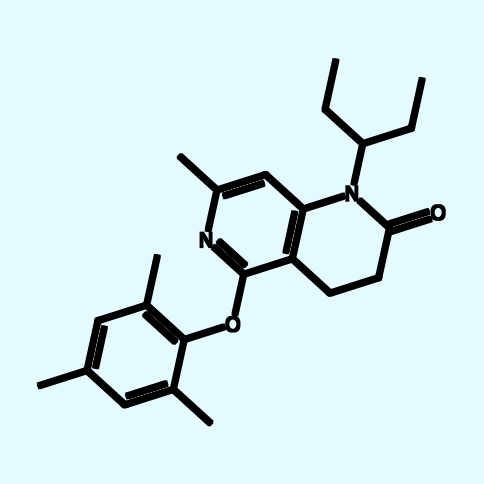 CCC(CC)N1C(=O)CCc2c1cc(C)nc2Oc1c(C)cc(C)cc1C